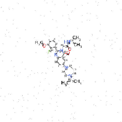 COc1cccc(-c2nc3ccc(N4CCCN(C(C)C)CC4)cc3c(=O)n2CC(=O)NC(C)C)c1F